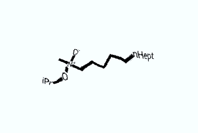 CCCCCCCCCCCC[N+](C)([O-])OC(C)C